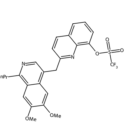 CCCc1ncc(Cc2ccc3cccc(OS(=O)(=O)C(F)(F)F)c3n2)c2cc(OC)c(OC)cc12